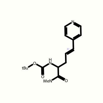 CNC(=O)C(C/C=C/c1ccncc1)NC(=O)OC(C)(C)C